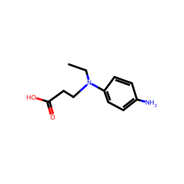 CCN(CCC(=O)O)c1ccc(N)cc1